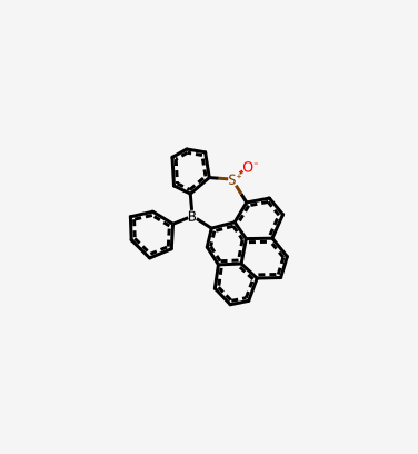 [O-][S+]1c2ccccc2B(c2ccccc2)c2cc3cccc4ccc5ccc1c2c5c43